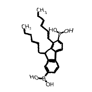 CCCCCCc1c(B(O)O)ccc2c1C(CCCCCC)c1cc(B(O)O)ccc1-2